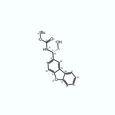 CC(C)(C)OC(=O)N[C@H](CO)c1ccc2oc3ccccc3c2c1